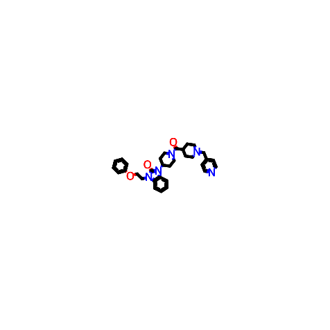 O=C(C1CCN(Cc2ccncc2)CC1)N1CCC(n2c(=O)n(CCOc3ccccc3)c3ccccc32)CC1